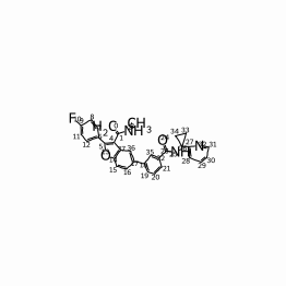 C=C(NC)c1c(-c2ccc(F)cc2)oc2ccc(-c3cccc(C(=O)NC4(c5ccccn5)CC4)c3)cc12